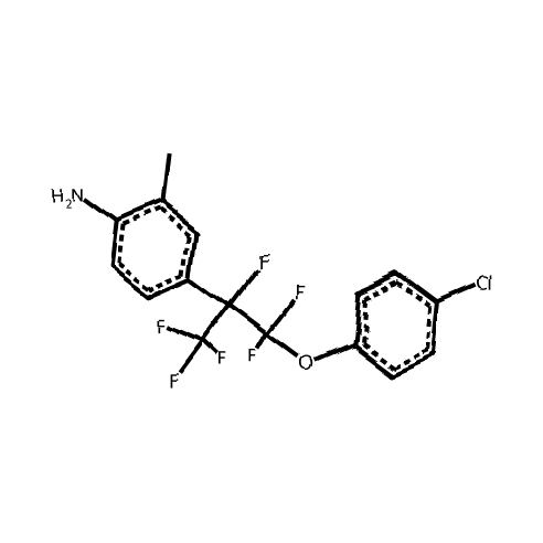 Cc1cc(C(F)(C(F)(F)F)C(F)(F)Oc2ccc(Cl)cc2)ccc1N